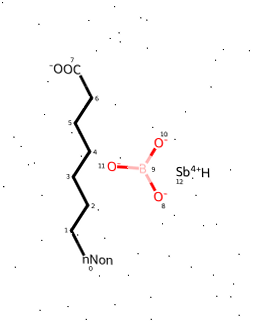 CCCCCCCCCCCCCCCC(=O)[O-].[O-]B([O-])[O-].[SbH+4]